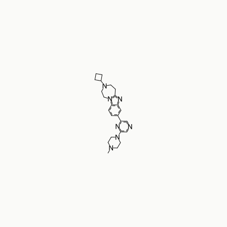 CN1CCN(c2cncc(-c3ccc4c(c3)nc3n4CCN(C4CCC4)CC3)n2)CC1